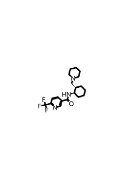 O=C(N[C@@H]1CCCC[C@H]1CN1CCCCC1)c1ccc(C(F)(F)F)nc1